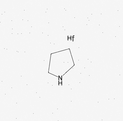 C1CCNC1.[Hf]